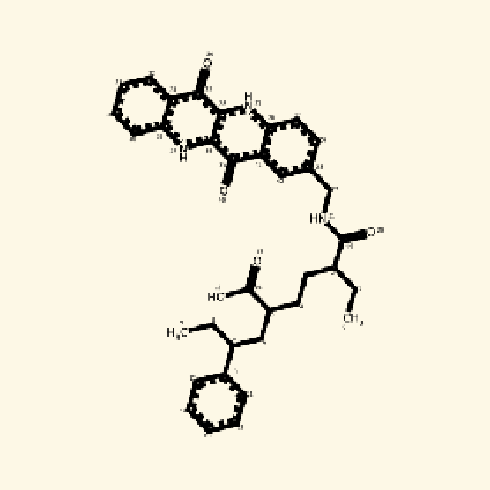 CCC(CCC(CC(CC)c1ccccc1)C(=O)O)C(=O)NCc1ccc2[nH]c3c(=O)c4ccccc4[nH]c3c(=O)c2c1